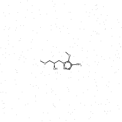 COC[C@H](O)Cn1ncc(N)c1OC